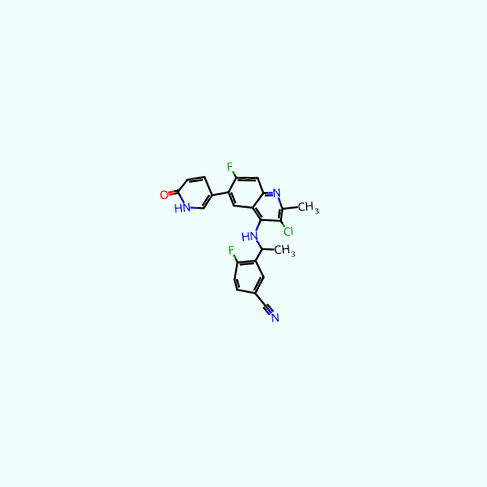 Cc1nc2cc(F)c(-c3ccc(=O)[nH]c3)cc2c(NC(C)c2cc(C#N)ccc2F)c1Cl